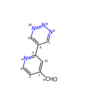 O=Cc1ccnc(-c2cnnnc2)c1